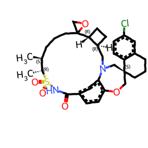 C[C@@H]1[C@@H](C)CCCC2(CO2)[C@@H]2CC[C@H]2CN2C[C@@]3(CCCc4cc(Cl)ccc43)COc3ccc(cc32)C(=O)NS1(=O)=O